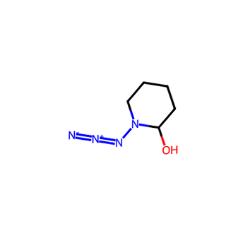 [N-]=[N+]=NN1CCCCC1O